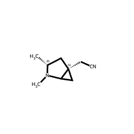 C[C@@H]1C[C@@]2(CC#N)CC2N1C